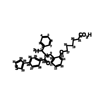 [2H]C(c1ccccc1)N(Cc1ccccc1OCCCCCC(=O)O)C(=O)c1ccc(-c2ccsc2)cc1